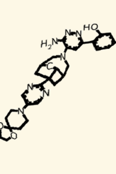 Nc1nnc(-c2ccccc2O)cc1N1CC2CC3C(C1)CC3(c1ncc(N3CCC4(CC3)OCCO4)cn1)C2